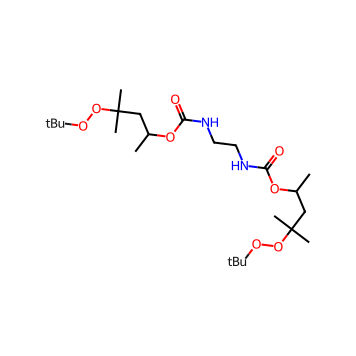 CC(CC(C)(C)OOC(C)(C)C)OC(=O)NCCNC(=O)OC(C)CC(C)(C)OOC(C)(C)C